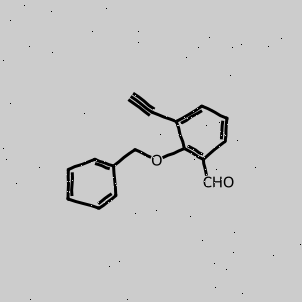 C#Cc1cccc(C=O)c1OCc1ccccc1